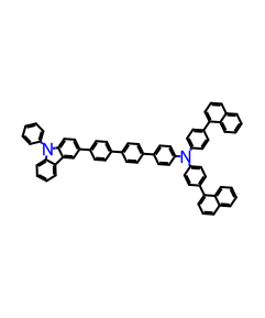 c1ccc(-n2c3ccccc3c3cc(-c4ccc(-c5ccc(-c6ccc(N(c7ccc(-c8cccc9ccccc89)cc7)c7ccc(-c8cccc9ccccc89)cc7)cc6)cc5)cc4)ccc32)cc1